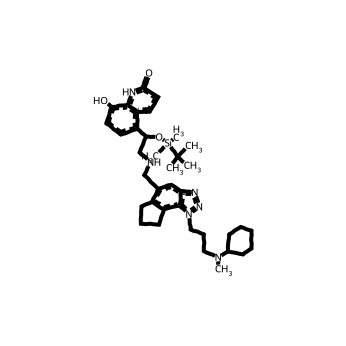 CN(CCCn1nnc2cc(CNCC(O[Si](C)(C)C(C)(C)C)c3ccc(O)c4[nH]c(=O)ccc34)c3c(c21)CCC3)C1CCCCC1